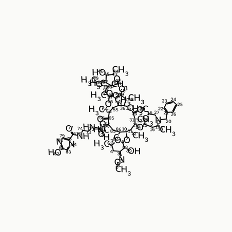 CON=C1C[C@@H](C)O[C@@H](O[C@@H]2[C@@H](C)[C@H](O[C@H]3C[C@H](C)N(Cc4ccccc4)C[C@H](C)O3)[C@@H](C)C(=O)OC([C@@H](C)CO[C@@H]3O[C@H](C)[C@@H](O)[C@@H](OC)[C@H]3OC)[C@H](C)[C@@H](OC(=O)CC(C)C)[C@@H](C)C(=O)[C@@](C)(OC(=O)NCCNC(=O)c3cnc(O)cn3)C[C@@H]2C)[C@@H]1O